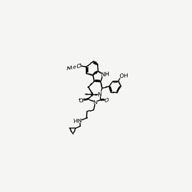 COc1ccc2[nH]c3c(c2c1)CC1(C)C(=O)N(CCCNCC2CC2)C(=O)N1C3c1cccc(O)c1